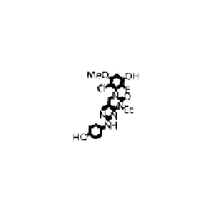 CCN1C(=O)N(c2c(F)c(O)cc(OC)c2Cl)Cc2cnc(NC3CCC(O)CC3)nc21